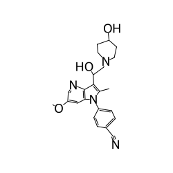 COc1cnc2c(C(O)CN3CCC(O)CC3)c(C)n(-c3ccc(C#N)cc3)c2c1